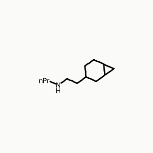 CCCNCCC1CCC2CC2C1